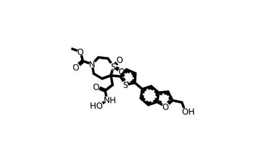 COC(=O)N1CCC(CC(=O)NO)(c2ccc(-c3ccc4oc(CO)cc4c3)s2)S(=O)(=O)CC1